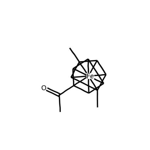 CC(=O)[C]12[CH]3[CH]4[CH]5[CH]1[Fe]45321678[CH]2[CH]1[C]6(C)[CH]7[C]28C